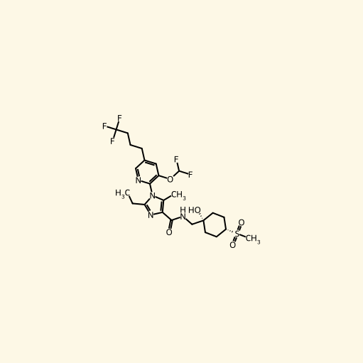 CCc1nc(C(=O)NC[C@]2(O)CC[C@@H](S(C)(=O)=O)CC2)c(C)n1-c1ncc(CCCC(F)(F)F)cc1OC(F)F